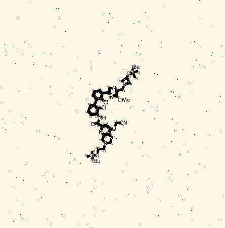 COc1nc(-c2cccc(-c3cccc(NC(=O)c4cc(OCC#N)c5c(n4)CN(CCO[Si](C)(C)C(C)(C)C)CC5)c3Cl)c2Cl)cnc1CN1CC(O[Si](C)(C)C(C)(C)C)C1